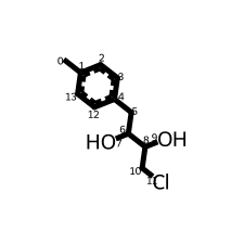 Cc1ccc(CC(O)C(O)CCl)cc1